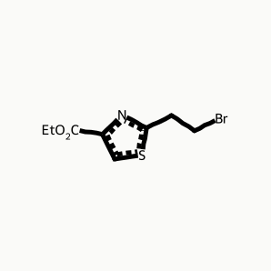 CCOC(=O)c1csc(CCBr)n1